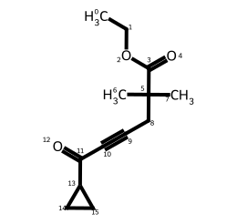 CCOC(=O)C(C)(C)CC#CC(=O)C1CC1